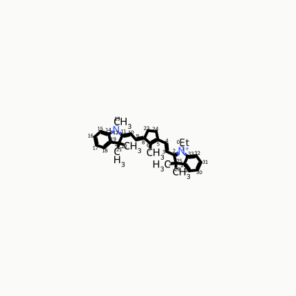 CC[N+]1=C(C=CC2=C(C)C(=CC=C3N(C)c4ccccc4C3(C)C)CC2)C(C)(C)c2ccccc21